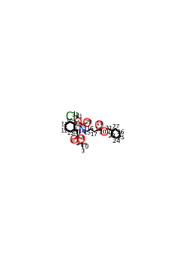 CC(C)(C)OC(=O)[C@H](c1ccccc1)N(CCCC(=O)OCc1ccccc1)C(=O)OCCl